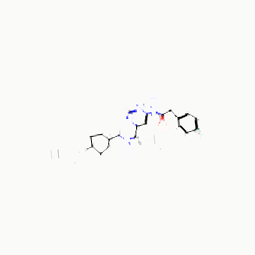 C=C(NCC1CCC(C(=O)O)CC1)c1cc(NC(=O)Cc2ccc(F)cc2)ncn1